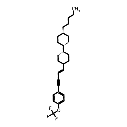 CCCCC[C@H]1CC[C@H]([C@H]2CC[C@H](C=CC#Cc3ccc(OC(F)(F)F)cc3)CC2)CC1